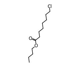 CCCCOC(=O)CCCCCCCCl